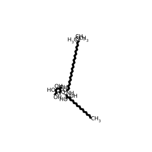 CCCCCCCCCCCCCC[C@@H](O)[C@@H](O)[C@H](COC1OC(CO)C(O)C(O)C1O)NC(=O)CCCCCCCCCCCCCCCCCCCCCCC[Si](C)(C)C